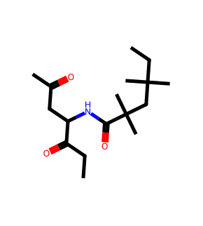 CCC(=O)C(CC(C)=O)NC(=O)C(C)(C)CC(C)(C)CC